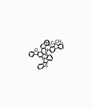 CC1(C)c2ccccc2-c2ccc(N3B4c5c(cc6c(oc7ccccc76)c5-c5ccc6ccccc6c53)-n3c5c4cccc5c4sc5ccccc5c43)cc21